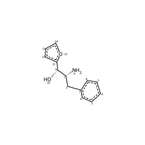 N[C@H](Cc1ccccc1)[C@H](O)c1ccco1